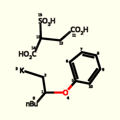 CCCCC([CH2][K])Oc1ccccc1.O=C(O)CC(C(=O)O)S(=O)(=O)O